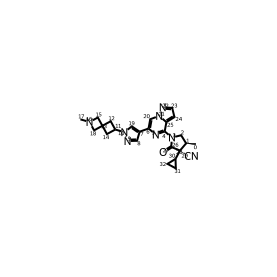 C[C@@H]1CN(c2nc(-c3cnn(C4CC5(C4)CN(C)C5)c3)cn3nccc23)C(=O)[C@]1(C#N)C1CC1